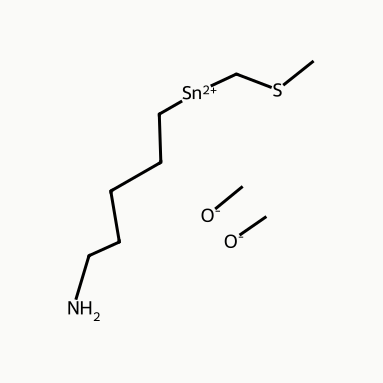 CS[CH2][Sn+2][CH2]CCCCN.C[O-].C[O-]